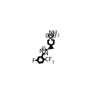 NS(=O)(=O)N1CCC2(CC1)C[C@H]2c1nc(-c2cc(F)ccc2C(F)(F)F)no1